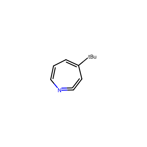 CC(C)(C)C1=CC=CN=C=C1